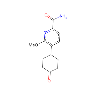 COc1nc(C(N)=O)ccc1C1CCC(=O)CC1